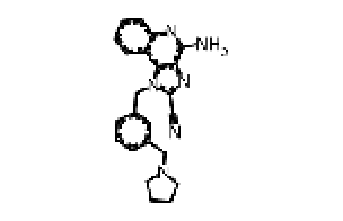 N#Cc1nc2c(N)nc3ccccc3c2n1Cc1cccc(CN2CCCC2)c1